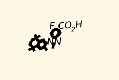 Cc1cc2c(cc1-n1c(C)nc3cc(C(=O)O)c(F)cc31)C(C)(C)CCC2(C)C